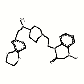 BN(Cc1ccc2c(c1)OCCO2)C1CCN(CCN2C(=O)CN(C(C)=O)c3ccccc32)CC1